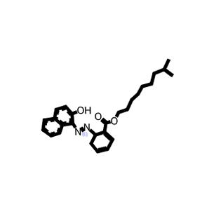 CC(C)CCCCCCCOC(=O)C1=CC=CCC1/N=N/c1c(O)ccc2ccccc12